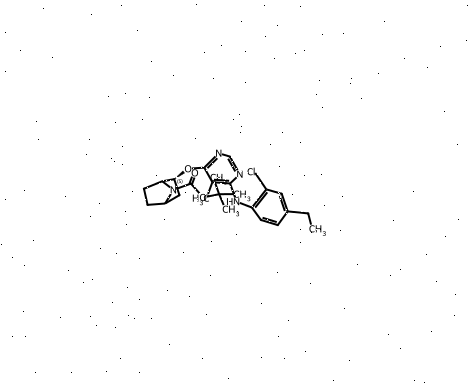 CCc1ccc(Nc2ncnc(O[C@H]3CC4CCC3N4C(=O)OC(C)(C)C)c2C)c(Cl)c1